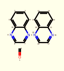 C=O.c1ccc2nccnc2c1.c1ccc2nccnc2c1